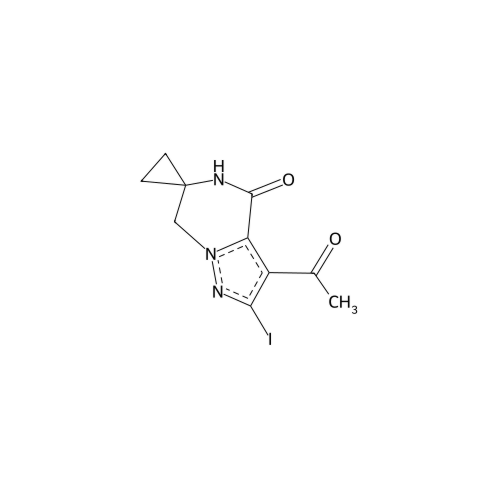 CC(=O)c1c(I)nn2c1C(=O)NC1(CC1)C2